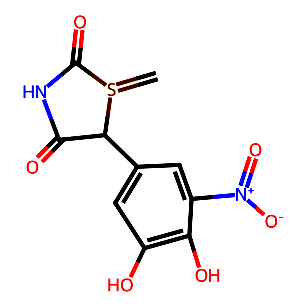 C=S1C(=O)NC(=O)C1c1cc(O)c(O)c([N+](=O)[O-])c1